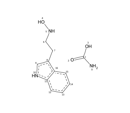 NC(=O)O.ONCCc1c[nH]c2ccccc12